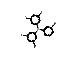 Fc1cccc(P(c2cc(F)cc(F)c2)c2cc(F)cc(F)c2)c1